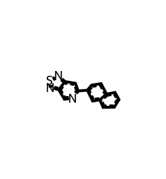 c1ccc2cc(-c3cc4nsnc4cn3)ccc2c1